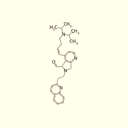 CC(C)N(CC/C=C\c1ccnc2c1C(C=O)N(CCc1ccc3ccccc3n1)C2)C(C)C